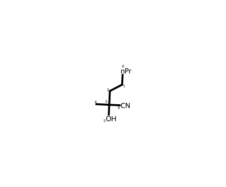 CCCCCC(C)(O)C#N